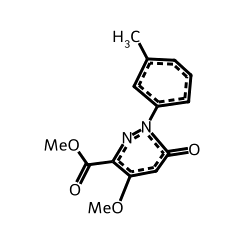 COC(=O)c1nn(-c2cccc(C)c2)c(=O)cc1OC